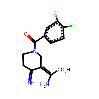 N=C1CCN(C(=O)c2ccc(Cl)c(Cl)c2)C/C1=C(/N)C(=O)O